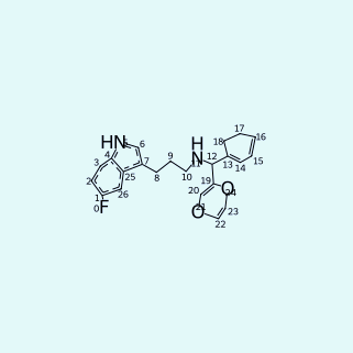 Fc1ccc2[nH]cc(CCCNC(C3=CC=CCC3)C3=COC=CO3)c2c1